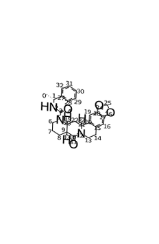 C[C@@H](NC(=O)N1CCC[C@H]2C(=O)N3CCc4cc5c(cc4[C@H]3C[C@H]21)OCO5)c1ccccc1